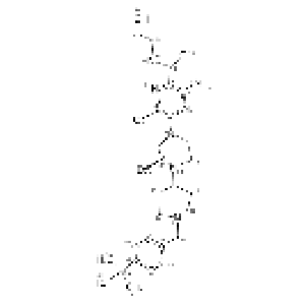 CC[C@H]1CN(c2nc(N)c(C(=O)NCCO)nc2Cl)CCN1C1CCN(Cc2ccc(C(C)(C)O)cc2)CC1